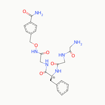 NCC(=O)NCC(=O)N[C@@H](Cc1ccccc1)C(=O)NCC(=O)NOCc1ccc(C(N)=O)cc1